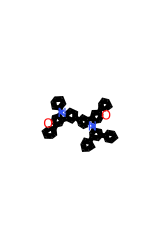 c1ccc(-c2cc(-c3ccccc3)cc(-n3c4ccc(-c5ccc6c(c5)c5cc7c(cc5n6-c5ccccc5)oc5ccccc57)cc4c4cc5c(cc43)oc3ccccc35)c2)cc1